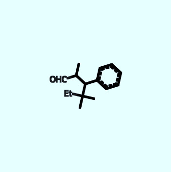 CCC(C)(C)C(c1ccccc1)C(C)C=O